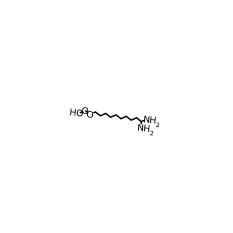 NC(N)CCCCCCCCCOOO